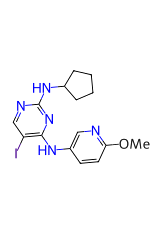 COc1ccc(Nc2nc(NC3CCCC3)ncc2I)cn1